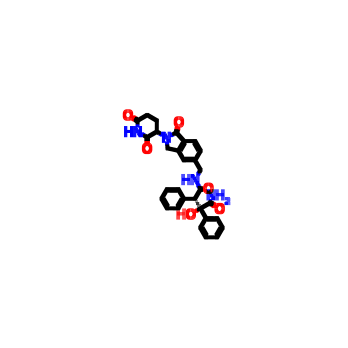 NC(=O)C(O)(c1ccccc1)[C@@H](C(=O)NCc1ccc2c(c1)CN(C1CCC(=O)NC1=O)C2=O)c1ccccc1